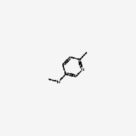 C[N]c1ccc(C)nc1